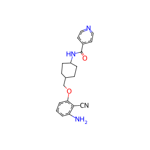 N#Cc1c(N)cccc1OCC1CCC(NC(=O)c2ccncc2)CC1